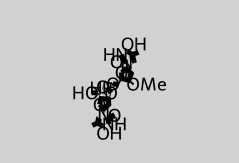 CO[C@@H]1C[C@H](N2C=C(C)C(O)NC2=O)O[C@@H]1CO[PH](=O)O[C@@H]1C[C@H](N2C=C(C)C(O)NC2=O)O[C@@H]1CO